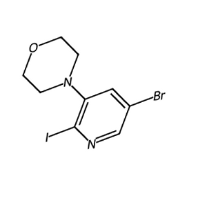 Brc1cnc(I)c(N2CCOCC2)c1